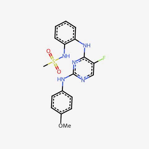 COc1ccc(Nc2ncc(F)c(Nc3ccccc3NS(C)(=O)=O)n2)cc1